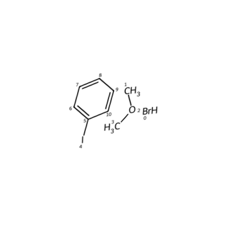 Br.COC.Ic1ccccc1